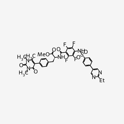 CCc1ncc(-c2ccc(S(=O)(=O)Nc3c(F)c(F)c(C(=O)N[C@@H](Cc4ccc(-c5c(C)n(C)c(=O)n(C)c5=O)cc4)C(=O)OC)c(F)c3F)cc2)cn1